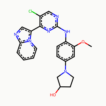 COc1cc(N2CCC(O)C2)ccc1Nc1ncc(Cl)c(-c2cnc3ccccn23)n1